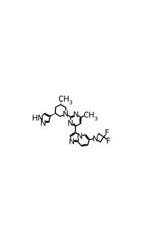 Cc1cc(-c2cnc3ccc(N4CC(F)(F)C4)cn23)nc(N2C[C@@H](C)C[C@H](c3cn[nH]c3)C2)n1